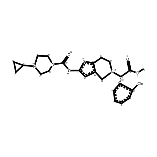 COC(=O)[C@H](c1ccccc1Cl)N1CCc2sc(OC(=O)N3CCN(C4CC4)CC3)cc2C1